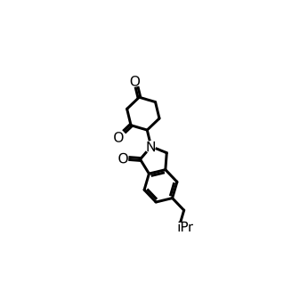 CC(C)Cc1ccc2c(c1)CN(C1CCC(=O)CC1=O)C2=O